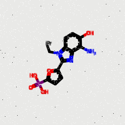 CC(C)Cn1c(-c2ccc(P(=O)(O)O)o2)nc2c(N)c(O)ccc21